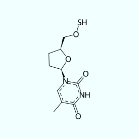 Cc1cn([C@H]2CC[C@@H](COS)O2)c(=O)[nH]c1=O